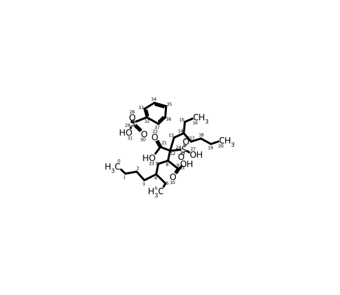 CCCCC(CC)CC(C(=O)O)C(CC(CC)CCCC)(C(=O)O)S(=O)(=O)O.O=S(=O)(O)c1ccccc1